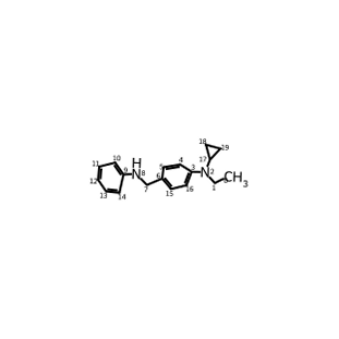 CCN(c1ccc(CNc2ccccc2)cc1)C1CC1